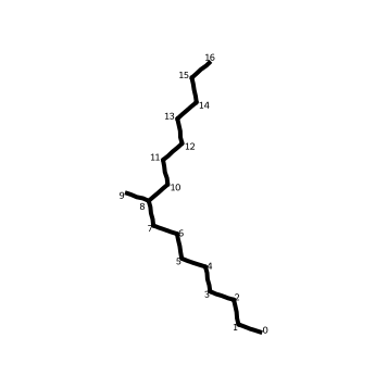 CCCCCCCCC(C)CCCCCCC